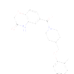 Cc1ccccc1OCC1CCN(C(=O)c2ccc3c(c2)NC(=O)CO3)CC1